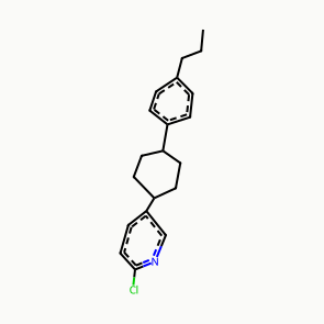 CCCc1ccc(C2CCC(c3ccc(Cl)nc3)CC2)cc1